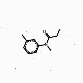 [CH2]CC(=O)N(C)c1cccc(C)c1